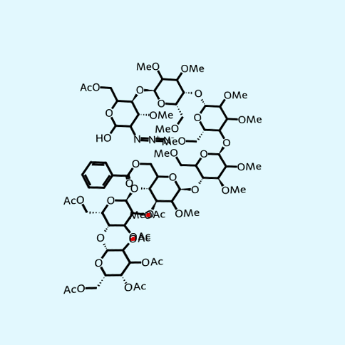 COCC1O[C@@H](OC2C(OC)C(OC)[C@@H](O[C@H]3C(OC)C(OC)[C@H](O[C@@H]4C(COC(C)=O)OC(O)C(N=[N+]=[N-])[C@H]4OC)O[C@H]3COC)O[C@H]2COC)C(OC)[C@@H](OC)[C@@H]1O[C@@H]1OC(COC(=O)c2ccccc2)[C@@H](O[C@@H]2O[C@@H](COC(C)=O)[C@@H](O[C@H]3O[C@@H](COC(C)=O)[C@@H](OC(C)=O)C(OC(C)=O)C3OC(C)=O)C(OC(C)=O)C2OC(C)=O)[C@H](OC)C1OC